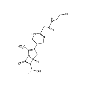 C[C@@H](O)[C@H]1C(=O)N2C(C(=O)O)=C(C3CN=C(CC(=O)NCCO)NC3)C[C@H]12